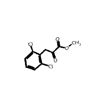 COC(=O)C(=O)Cc1c(Cl)cccc1Cl